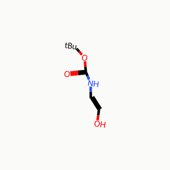 CC(C)(C)OC(=O)NC=CO